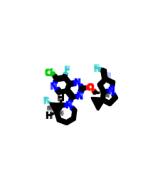 F/C=C1/CN2CCC3(CC3)[C@@]2(COc2nc(N3CCCC[C@H]4[C@H](F)[C@H]43)c3cnc(Cl)c(F)c3n2)C1